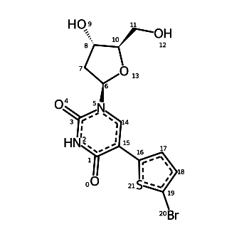 O=c1[nH]c(=O)n([C@H]2C[C@H](O)[C@@H](CO)O2)cc1-c1ccc(Br)s1